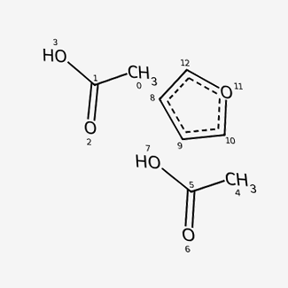 CC(=O)O.CC(=O)O.c1ccoc1